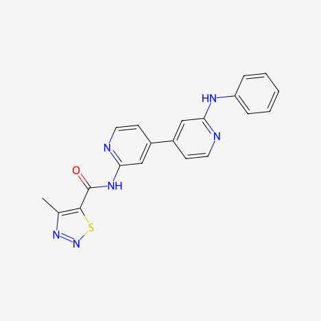 Cc1nnsc1C(=O)Nc1cc(-c2ccnc(Nc3ccccc3)c2)ccn1